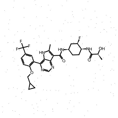 Cc1[nH]c2c(-c3cc(C(F)(F)F)ccc3OCC3CC3)ncnc2c1C(=O)N[C@@H]1CC[C@H](NC(=O)[C@H](C)O)[C@H](F)C1